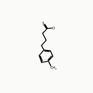 Cc1ccc(CCCC(=S)Cl)cc1